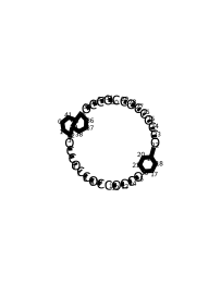 C1CC2OCCOCCOCCOCCOC3CCC(CC3)OCCOCCOCCOCCOC3CCCC2C3C1